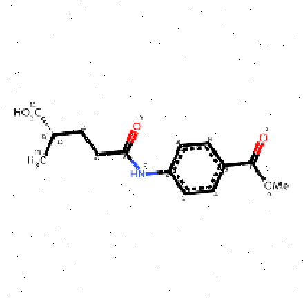 COC(=O)c1ccc(NC(=O)CC[C@H](C)C(=O)O)cc1